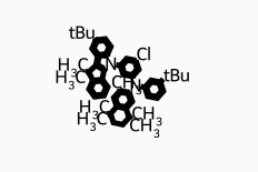 Cc1cc2c(cc1N(c1cc(Cl)cc(-n3c4c(c5cc(C(C)(C)C)ccc53)C(C)(C)c3ccccc3-4)c1)c1cccc(C(C)(C)C)c1)C(C)(C)CCC2(C)C